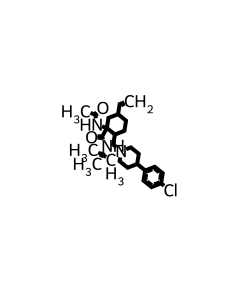 C=CC1CCC(CN2CCC(c3ccc(Cl)cc3)CC2)C(NC(C)=O)(C(=O)NC(C)(C)C)C1